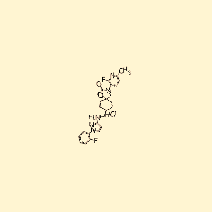 Cc1ccc(N2CC3(CCC(CNc4ccn(-c5ccccc5F)n4)CC3)OC2=O)c(F)n1.Cl